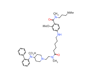 CNCCCN(C)C(=O)c1ccc(NCCCCCC(=O)N(C)CCN2CCC(N(C(=O)O)c3ccccc3-c3ccccc3)CC2)cc1OC